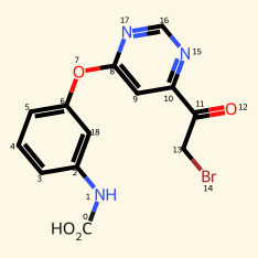 O=C(O)Nc1cccc(Oc2cc(C(=O)CBr)ncn2)c1